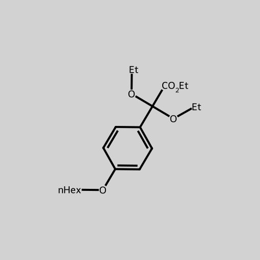 CCCCCCOc1ccc(C(OCC)(OCC)C(=O)OCC)cc1